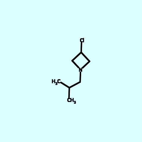 CC(C)CN1CC(Cl)C1